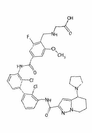 COc1cc(C(=O)Nc2cccc(-c3cccc(NC(=O)c4cc5n(n4)CCCC5N4CCCC4)c3Cl)c2Cl)cc(F)c1CNCC(=O)O